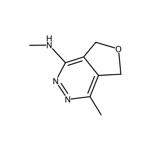 CNc1nnc(C)c2c1COC2